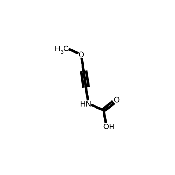 COC#CNC(=O)O